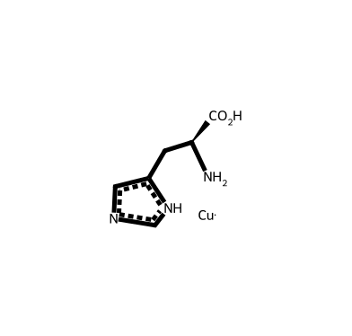 N[C@@H](Cc1cnc[nH]1)C(=O)O.[Cu]